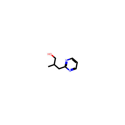 CC(CO)Cc1ncccn1